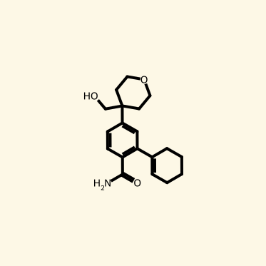 NC(=O)c1ccc(C2(CO)CCOCC2)cc1C1=CCCCC1